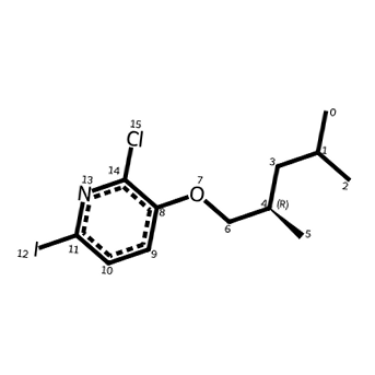 CC(C)C[C@@H](C)COc1ccc(I)nc1Cl